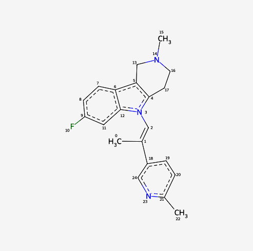 CC(=Cn1c2c(c3ccc(F)cc31)CN(C)CC2)c1ccc(C)nc1